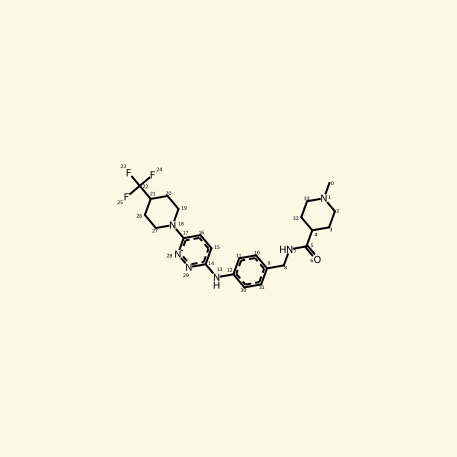 CN1CCC(C(=O)NCc2ccc(Nc3ccc(N4CCC(C(F)(F)F)CC4)nn3)cc2)CC1